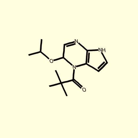 CC(C)OC1C=Nc2[nH]ccc2N1C(=O)C(C)(C)C